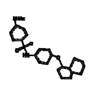 CC(=O)Nc1ccc(S(=O)(=O)Nc2ccc(Oc3cccc4ccccc34)cc2)cc1